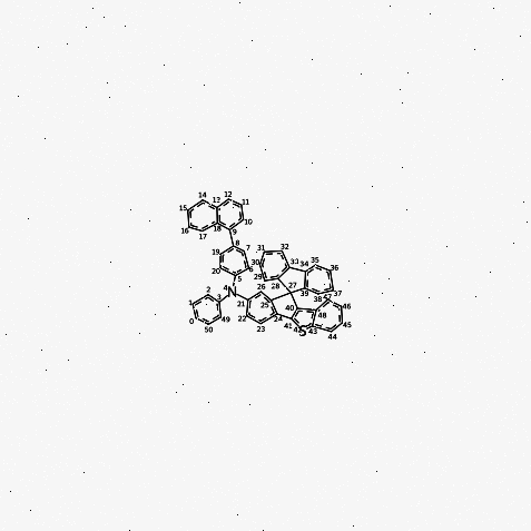 c1ccc(N(c2ccc(-c3cccc4ccccc34)cc2)c2ccc3c(c2)C2(c4ccccc4-c4ccccc42)c2c-3sc3ccccc23)cc1